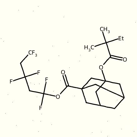 CCC(C)(C)C(=O)OC12CC3CC(C1)CC(C(=O)OC(F)(F)CC(F)(F)CC(F)(F)F)(C3)C2